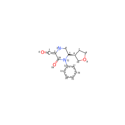 O=C=C1[N]CC([C@H]2CCOC2)N(c2ccccc2)C1=O